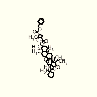 CC(C)C1=C2[C@H]3CCC4[C@@]5(C)CC[C@H](OC(=O)[C@H]6C[C@@H](C(=O)OCc7ccccc7)C6(C)C)C(C)(C)C5CC[C@@]4(C)[C@]3(C)CC[C@@]2(NC(=O)C2(N)CCCCC2)CC1=O